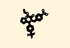 CCOC(=O)C(=O)N(Cc1ccc([N+](=O)[O-])cc1)C(c1ccc(C(F)(F)F)cc1)C1CCCC1